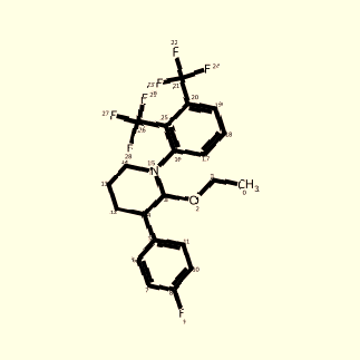 CCOC1C(c2ccc(F)cc2)CCCN1c1cccc(C(F)(F)F)c1C(F)(F)F